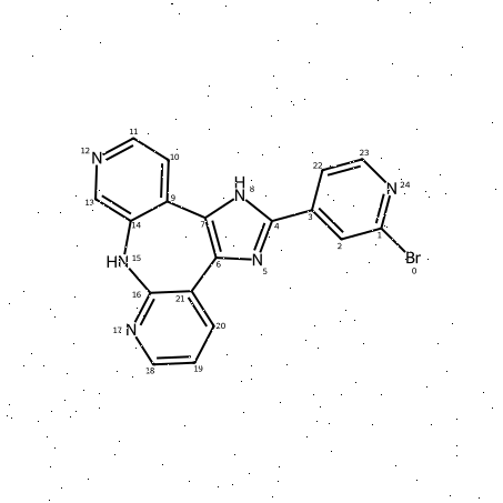 Brc1cc(-c2nc3c([nH]2)-c2ccncc2Nc2ncccc2-3)ccn1